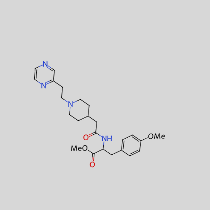 COC(=O)C(Cc1ccc(OC)cc1)NC(=O)CC1CCN(CCc2cnccn2)CC1